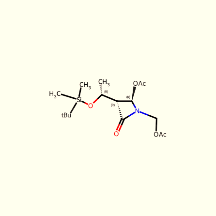 CC(=O)OCN1C(=O)[C@H]([C@@H](C)O[Si](C)(C)C(C)(C)C)[C@H]1OC(C)=O